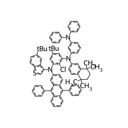 CC(C)(C)c1cc(N(c2cccc(N(c3ccccc3)c3ccccc3)c2)c2ccc3c(c2)C(C)(C)CCC3(C)C)c(Cl)c(N(c2ccc3c(-c4ccccc4)c4ccccc4c(-c4ccccc4)c3c2)c2csc3ccc(C(C)(C)C)cc23)c1